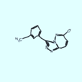 Cc1cccc(-c2nnc3ccc(Cl)nn23)c1